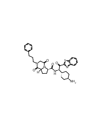 N[C@H]1CC[C@H]([C@@H](NC(=O)[C@H]2CC[C@@H]3C(=O)N(CCCc4ccccc4)CC(=O)N23)C(=O)c2nc3ccccc3s2)CC1